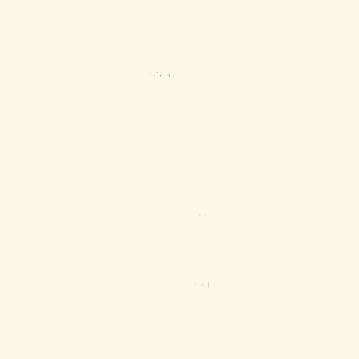 CCCCCCCCCCCCCC1OCC(OCCCO)CO1